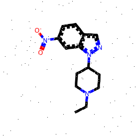 CCN1CCC(n2ncc3ccc([N+](=O)[O-])cc32)CC1